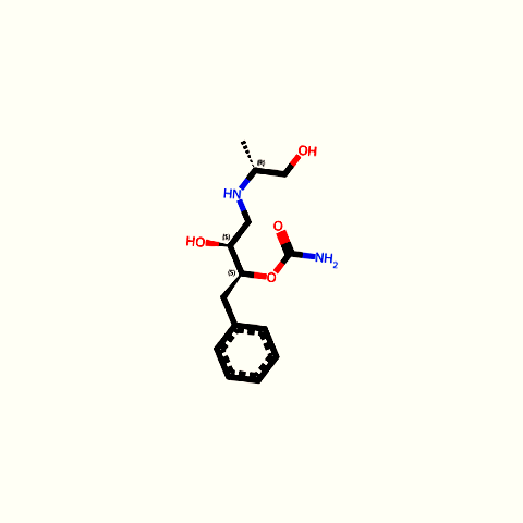 C[C@H](CO)NC[C@H](O)[C@H](Cc1ccccc1)OC(N)=O